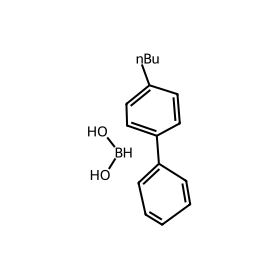 CCCCc1ccc(-c2ccccc2)cc1.OBO